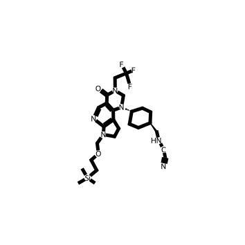 C[Si](C)(C)CCOCN1CCc2c1ncc1c2N([C@H]2CC[C@H](CNCC#N)CC2)CN(CC(F)(F)F)C1=O